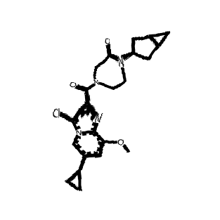 COc1cc(C2CC2)cn2c(Cl)c(C(=O)N3CCN(C4CC5CC5C4)C(=O)C3)nc12